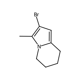 Cc1c(Br)cc2n1CCCC2